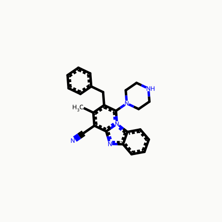 Cc1c(Cc2ccccc2)c(N2CCNCC2)n2c(nc3ccccc32)c1C#N